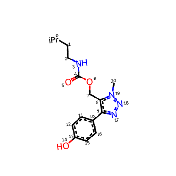 CC(C)CCNC(=O)OCc1c(-c2ccc(O)cc2)nnn1C